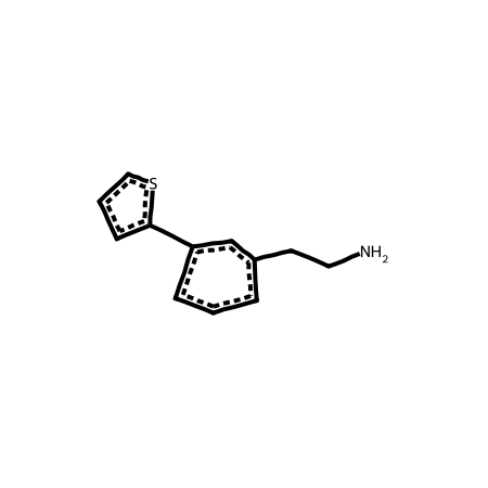 NCCc1cccc(-c2cccs2)c1